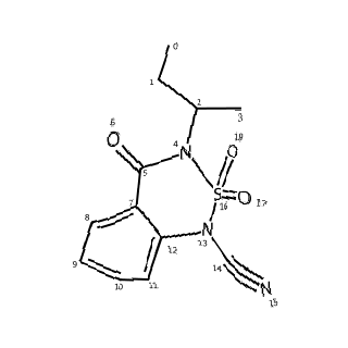 CCC(C)N1C(=O)c2ccccc2N(C#N)S1(=O)=O